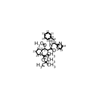 CO[C@H]([C@@H](C)C(=O)N[C@@H](Cc1ccccc1)c1nccs1)[C@@H]1CCCN1C(=O)OC(C)(C)C